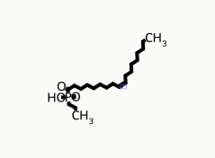 CCCCCCCC/C=C\CCCCCCCC(=O)P(=O)(O)CCC